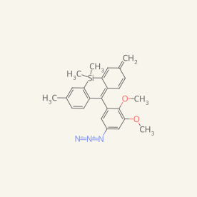 C=c1ccc2c(c1)[Si](C)(C)c1cc(C)ccc1C=2c1cc(N=[N+]=[N-])cc(OC)c1OC